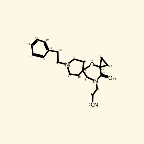 N#CCCN1CC2(CCN(CCc3ccccc3)CC2)OC2(CC2)C1=O